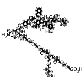 CNCc1cc(NC(=O)[C@H](CCCNC(N)=O)NC(=O)[C@@H](NC(=O)CCOCCOCCOCCC(=O)NCCN(CCNC(=O)CCOCCOCCC(=O)O)C(=O)CCOCCNC(=O)OC(C)(C)C)C(C)C)ccc1C[N+](C)(C)CCC[C@@H]1Cc2ccccc2CN1C(=O)c1ccc(Cl)cc1-c1cc(C(=O)N(c2ccc(O)cc2)c2cc(C#N)n(C)c2C)c(C)n1C.O=C([O-])C(F)(F)F